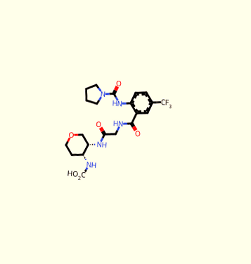 O=C(O)N[C@@H]1CCOC[C@@H]1NC(=O)CNC(=O)c1cc(C(F)(F)F)ccc1NC(=O)N1CCCC1